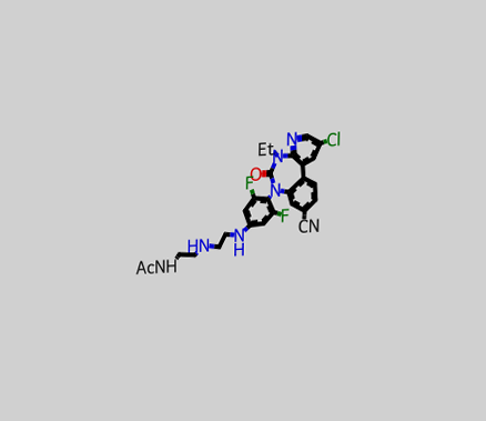 CCN1C(=O)N(c2c(F)cc(NCCNCCNC(C)=O)cc2F)c2cc(C#N)ccc2-c2cc(Cl)cnc21